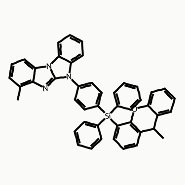 Cc1cccc2c1nc1n(-c3ccc([Si](c4ccccc4)(c4ccccc4)c4cccc5c4Oc4ccccc4C5C)cc3)c3ccccc3n21